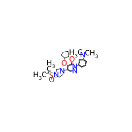 CC(C)[S+]([O-])N1CCN(c2cnn(-c3cccc(N(C)C)c3)c(=O)c2OC2CCCC2)CC1